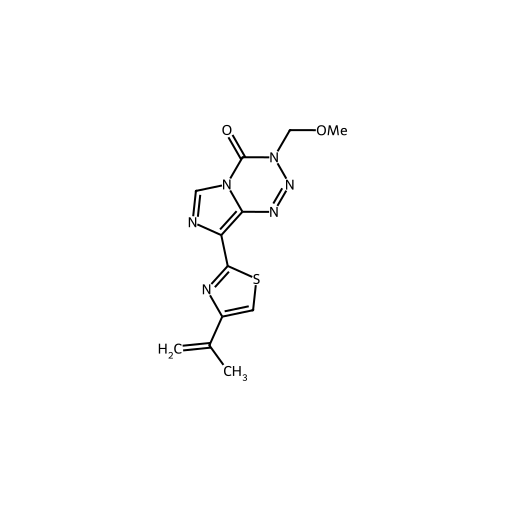 C=C(C)c1csc(-c2ncn3c(=O)n(COC)nnc23)n1